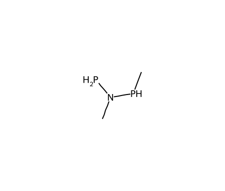 CPN(C)P